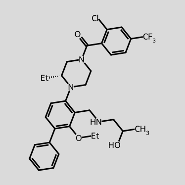 CCOc1c(-c2ccccc2)ccc(N2CCN(C(=O)c3ccc(C(F)(F)F)cc3Cl)C[C@H]2CC)c1CNCC(C)O